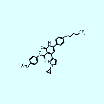 O=C(Nc1ccc(OC(F)(F)F)cc1)c1c(-c2ccn(C3CC3)n2)cc(-c2ccc(OCCCC(F)(F)F)cc2)[nH]c1=O